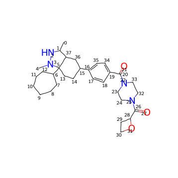 CC1NN(C)C2(C3CCCCCC3)CCC(c3ccc(C(=O)N4CCN(C(=O)C5CCO5)CC4)cc3)CC12